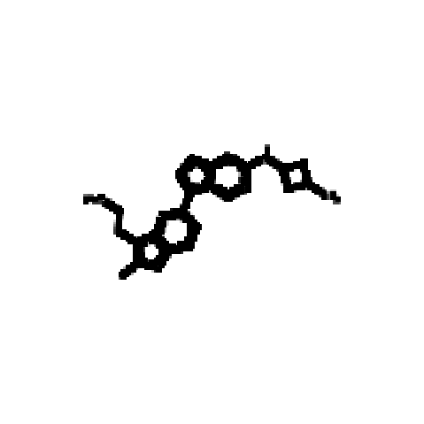 COCCn1c(C)nc2ccc(-c3ccn4nc(NC5CC(N)C5)ncc34)nc21